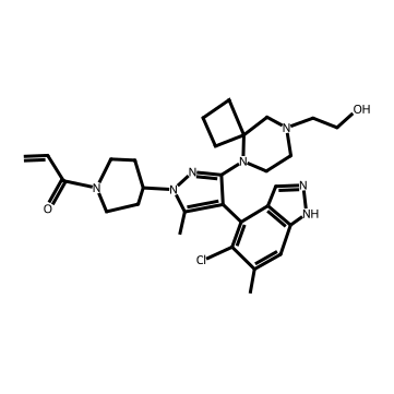 C=CC(=O)N1CCC(n2nc(N3CCN(CCO)CC34CCC4)c(-c3c(Cl)c(C)cc4[nH]ncc34)c2C)CC1